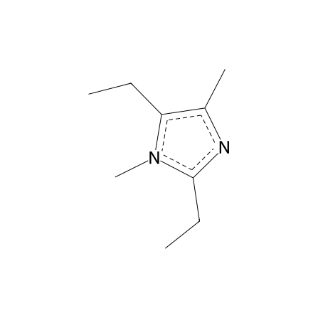 CCc1nc(C)c(CC)n1C